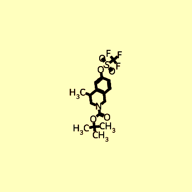 CC1CN(C(=O)OC(C)(C)C)Cc2ccc(OS(=O)(=O)C(F)(F)F)cc21